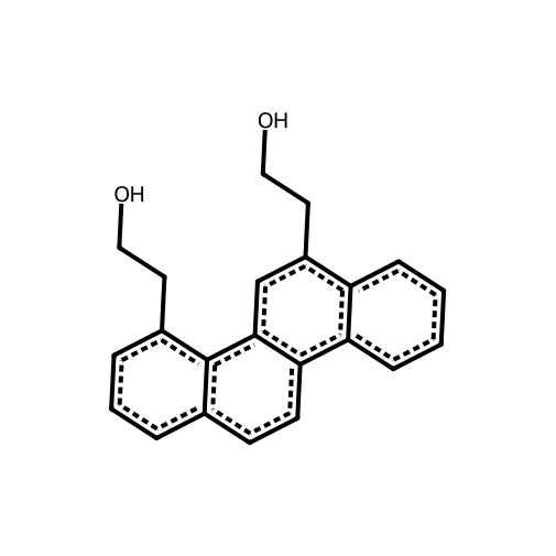 OCCc1cc2c(ccc3cccc(CCO)c32)c2ccccc12